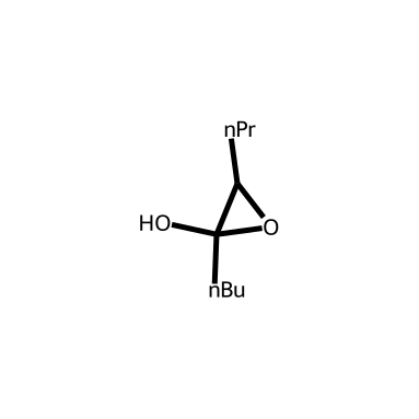 CCCCC1(O)OC1CCC